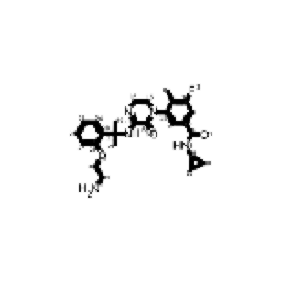 Cc1c(F)cc(C(=O)NC2CC2)cc1-n1ccnc(NC(C)(C)c2ccccc2OCCN)c1=O